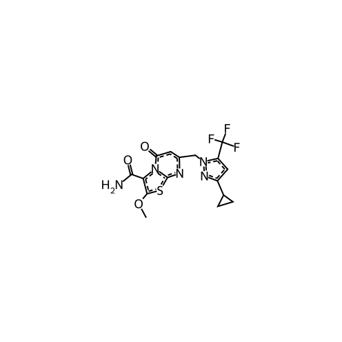 COc1sc2nc(Cn3nc(C4CC4)cc3C(F)(F)F)cc(=O)n2c1C(N)=O